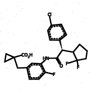 O=C(Nc1cc(CC2(C(=O)O)CC2)ccc1F)[C@H](c1ccc(Cl)cc1)C1CCCC1(F)F